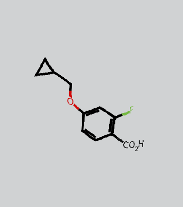 O=C(O)c1ccc(OCC2CC2)cc1F